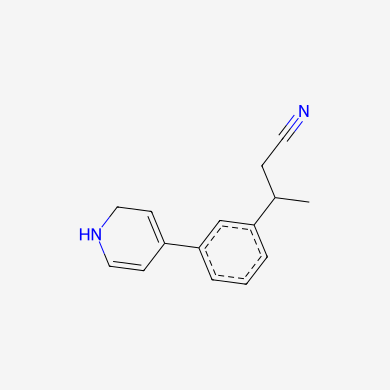 CC(CC#N)c1cccc(C2=CCNC=C2)c1